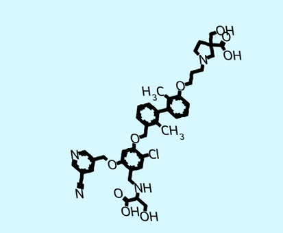 Cc1c(COc2cc(OCc3cncc(C#N)c3)c(CNC(CO)C(=O)O)cc2Cl)cccc1-c1cccc(OCCCN2CCC(CO)(C(=O)O)C2)c1C